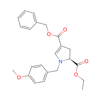 CCOC(=O)[C@@H]1CC(C(=O)OCc2ccccc2)=CN1Cc1ccc(OC)cc1